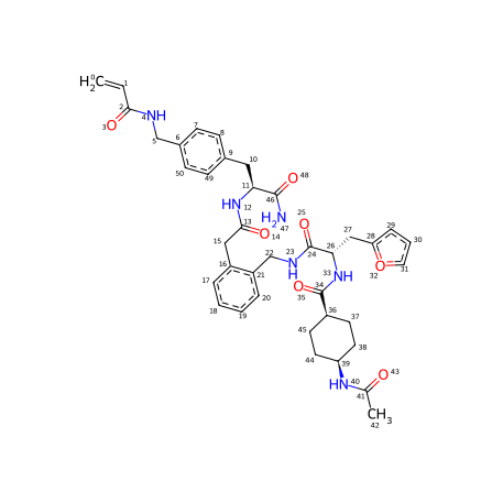 C=CC(=O)NCc1ccc(C[C@H](NC(=O)Cc2ccccc2CNC(=O)[C@H](Cc2ccco2)NC(=O)[C@H]2CC[C@@H](NC(C)=O)CC2)C(N)=O)cc1